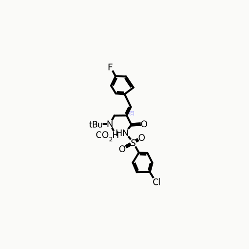 CC(C)(C)N(C/C(=C\c1ccc(F)cc1)C(=O)NS(=O)(=O)c1ccc(Cl)cc1)C(=O)O